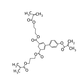 C=C(C)C(=O)OCCCOC(=O)C1=CC(c2ccc(OC(=O)C(=C)C)cc2)=CC(C(=O)OCCCOC(=O)C(=C)C)C1